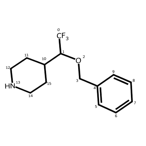 FC(F)(F)C(OCc1ccccc1)C1CCNCC1